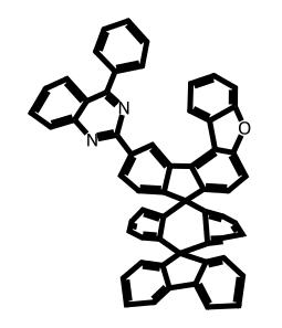 c1ccc(-c2nc(-c3ccc4c(c3)-c3c(ccc5oc6ccccc6c35)C43c4ccccc4C4(c5ccccc5-c5ccccc54)c4ccccc43)nc3ccccc23)cc1